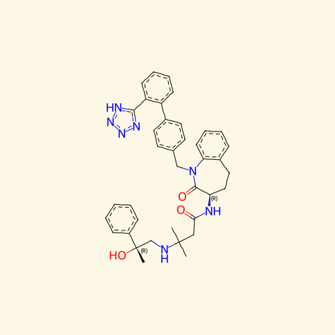 CC(C)(CC(=O)N[C@@H]1CCc2ccccc2N(Cc2ccc(-c3ccccc3-c3nnn[nH]3)cc2)C1=O)NC[C@](C)(O)c1ccccc1